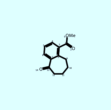 COC(=O)c1cccc2c1CCCCC2=O